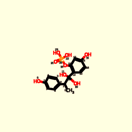 CC(c1ccc(O)cc1)C(O)(O)c1ccc(O)cc1OP(=O)(O)O